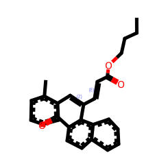 CCCCOC(=O)/C=C/C(=C/c1ccccc1C)c1c(C=O)ccc2ccccc12